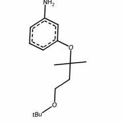 CC(C)(C)OCCC(C)(C)Oc1cccc(N)c1